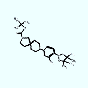 Cc1cc(C2CCC3(CC2)CCN(C(=O)OC(C)(C)C)C3)ccc1B1OC(C)(C)C(C)(C)O1